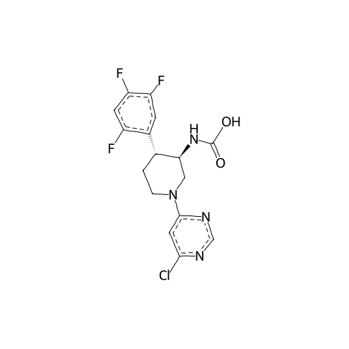 O=C(O)N[C@H]1CN(c2cc(Cl)ncn2)CC[C@@H]1c1cc(F)c(F)cc1F